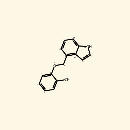 Clc1ccccc1OCc1cccc2[nH]ccc12